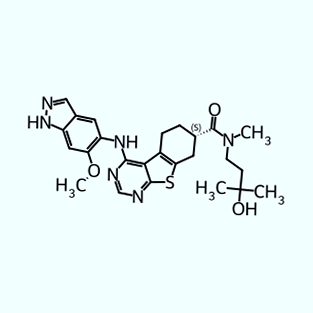 COc1cc2[nH]ncc2cc1Nc1ncnc2sc3c(c12)CC[C@H](C(=O)N(C)CCC(C)(C)O)C3